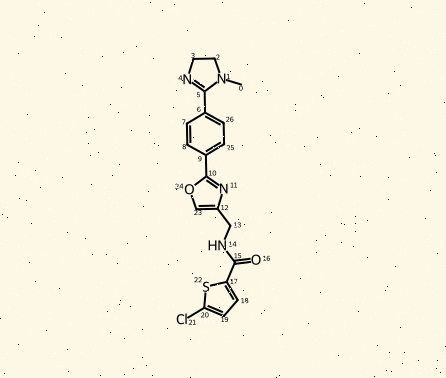 CN1CCN=C1c1ccc(-c2nc(CNC(=O)c3ccc(Cl)s3)co2)cc1